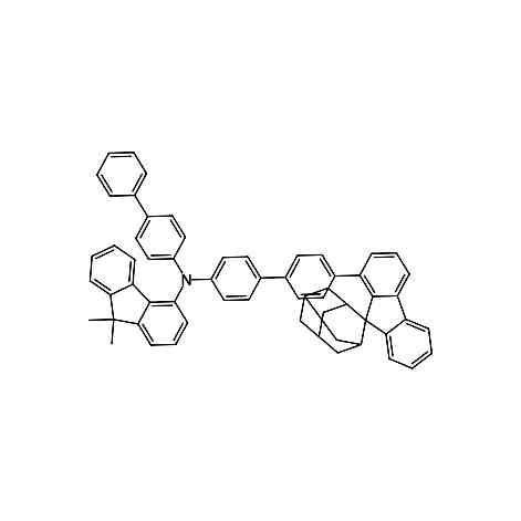 CC1(C)c2ccccc2-c2c(N(c3ccc(-c4ccccc4)cc3)c3ccc(-c4ccc(-c5cccc6c5C5(c7ccccc7-6)C6CC7CC(C6)CC5C7)cc4)cc3)cccc21